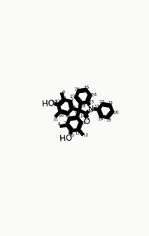 Cc1cc(C2(c3cc(C)c(O)c(C)c3)C(=O)N(c3ccccc3)c3ccccc32)cc(C)c1O